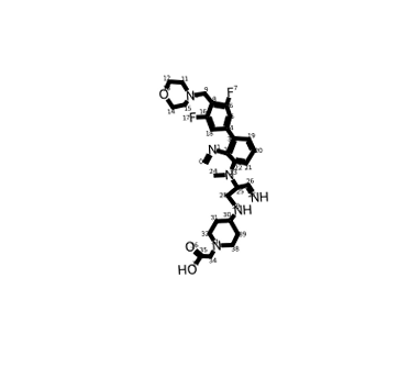 C=Nc1c(-c2cc(F)c(CN3CCOCC3)c(F)c2)cccc1N(C)C(C=N)CNC1CCN(CC(=O)O)CC1